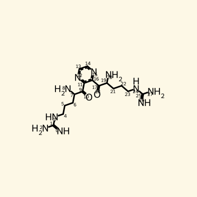 N=C(N)NCCCC(N)C(=O)c1nccnc1C(=O)C(N)CCCNC(=N)N